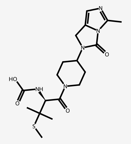 CSC(C)(C)[C@@H](NC(=O)O)C(=O)N1CCC(N2Cc3cnc(C)n3C2=O)CC1